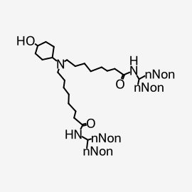 CCCCCCCCCC(CCCCCCCCC)NC(=O)CCCCCCCN(CCCCCCCC(=O)NC(CCCCCCCCC)CCCCCCCCC)C1CCC(O)CC1